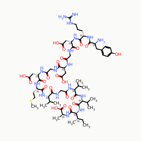 CC[C@H](C)[C@H](NC(=O)[C@@H](NC(=O)[C@@H](NC(=O)CNC(=O)[C@@H](NC(=O)[C@H](CCSC)NC(=O)[C@H](CC(=O)O)NC(=O)CNC(=O)[C@H](CC(=O)O)NC(=O)CNC(=O)[C@H](CC(=O)O)NC(=O)[C@H](CCCNC(=N)N)NC(=O)[C@@H](N)Cc1ccc(O)cc1)C(C)C)C(C)C)C(C)C)C(=O)N[C@@H](C)C(=O)O